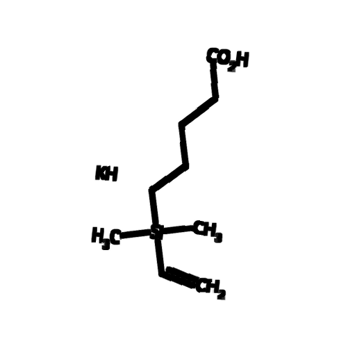 C=C[Si](C)(C)CCCCC(=O)O.[KH]